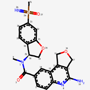 CN(C(=O)c1ccc2nc(N)c3c(c2c1)COC3)[C@@H]1COc2cc(S(C)(=N)=O)ccc21